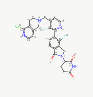 O=C1CCC(N2Cc3c(ccc(-c4nccc(CN5CCc6c(ccnc6Cl)C5)c4F)c3F)C2=O)C(=O)N1